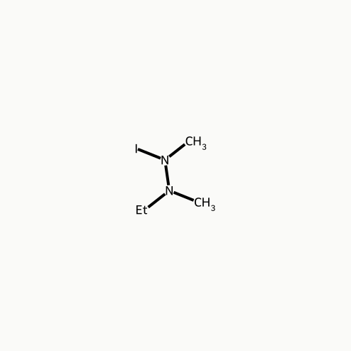 CCN(C)N(C)I